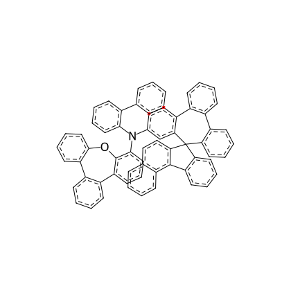 c1ccc(-c2ccccc2N(c2ccc3c(c2)C2(c4ccccc4-c4ccccc4-3)c3ccccc3-c3c2ccc2ccccc32)c2cccc3c2Oc2ccccc2-c2ccccc2-3)cc1